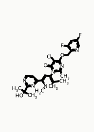 C=N/C(=C\C(=C(C)C)n1c(C)nc(OCc2ncc(F)cc2F)c(Cl)c1=O)c1ccnc(C(C)(C)O)n1